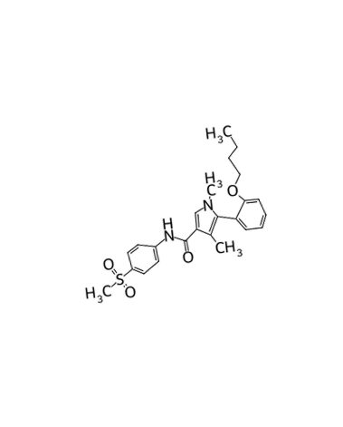 CCCCOc1ccccc1-c1c(C)c(C(=O)Nc2ccc(S(C)(=O)=O)cc2)cn1C